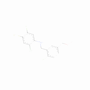 COCc1ccc(F)c(CNc2cc(F)c(S)cc2Cl)c1